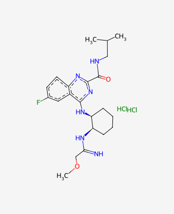 COCC(=N)N[C@@H]1CCCC[C@@H]1Nc1nc(C(=O)NCC(C)C)nc2ccc(F)cc12.Cl.Cl